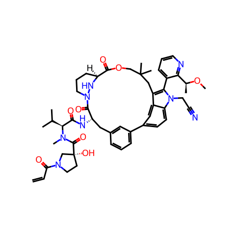 C=CC(=O)N1CC[C@](O)(C(=O)N(C)[C@H](C(=O)N[C@H]2Cc3cccc(c3)-c3ccc4c(c3)c(c(-c3cccnc3[C@H](C)OC)n4CC#N)CC(C)(C)COC(=O)[C@@H]3CCCN(N3)C2=O)C(C)C)C1